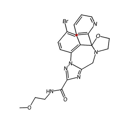 COCCNC(=O)c1nc2n(n1)-c1ccc(Br)cc1C1(c3ccccn3)OCCN1C2